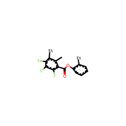 CCc1ccccc1OC(=O)c1c(C)c(CC)c(F)c(F)c1F